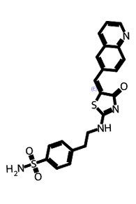 NS(=O)(=O)c1ccc(CCNC2=NC(=O)/C(=C\c3ccc4ncccc4c3)S2)cc1